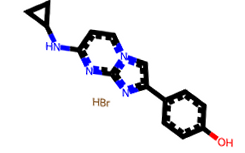 Br.Oc1ccc(-c2cn3ccc(NC4CC4)nc3n2)cc1